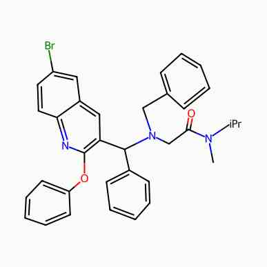 CC(C)N(C)C(=O)CN(Cc1ccccc1)C(c1ccccc1)c1cc2cc(Br)ccc2nc1Oc1ccccc1